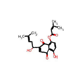 CC(C)=CC[C@H](O)C1=CC(=O)c2c(O)ccc(OC(=O)C=C(C)C)c2C1=O